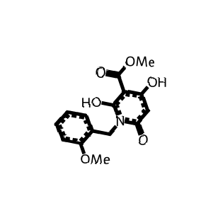 COC(=O)c1c(O)cc(=O)n(Cc2ccccc2OC)c1O